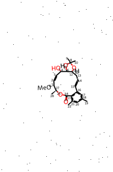 CO[C@@H]1/C=C\C(O)[C@H]2OC(C)(C)O[C@H]2C/C=C/c2cc(C)cc(C)c2C(=O)O[C@H]1C